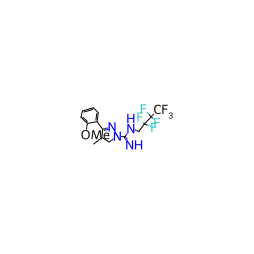 COc1ccccc1C1=NN(C(=N)NCC(F)(F)C(F)(F)C(F)(F)F)CC1C